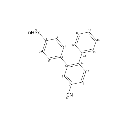 CCCCCCc1ccc(-c2cc(C#N)ccc2-c2ccccc2)cc1